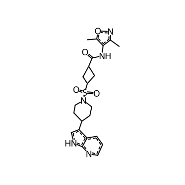 Cc1noc(C)c1NC(=O)C1CC(S(=O)(=O)N2CCC(c3c[nH]c4ncccc34)CC2)C1